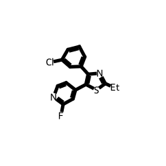 CCc1nc(-c2cccc(Cl)c2)c(-c2ccnc(F)c2)s1